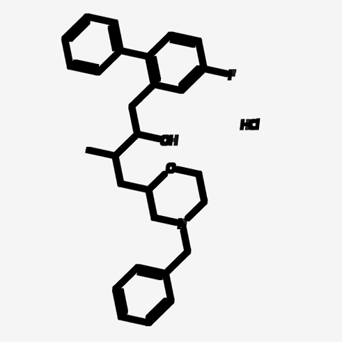 CC(CC1CN(Cc2ccccc2)CCO1)C(O)Cc1cc(F)ccc1-c1ccccc1.Cl